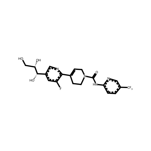 O=C(Nc1ccc(C(F)(F)F)cn1)N1CC=C(c2ncc([C@H](O)[C@@H](O)CO)cc2F)CC1